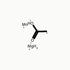 CC(=O)O.[MgH2].[Mn]